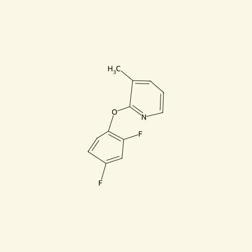 Cc1cccnc1Oc1ccc(F)cc1F